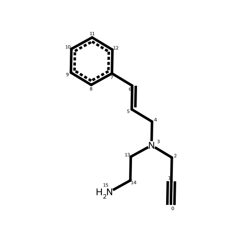 C#CCN(CC=Cc1ccccc1)CCN